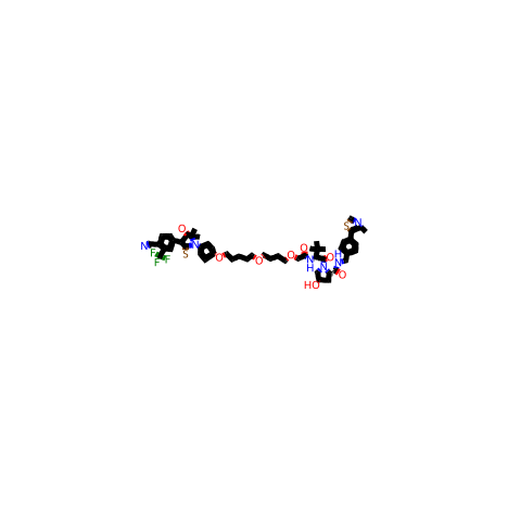 Cc1ncsc1-c1ccc(CNC(=O)[C@@H]2C[C@@H](O)CN2C(=O)[C@@H](NC(=O)COCCCCOCCCCCOc2ccc(N3C(=S)C(c4ccc(C#N)c(C(F)(F)F)c4)C(=O)C3(C)C)cc2)C(C)(C)C)cc1